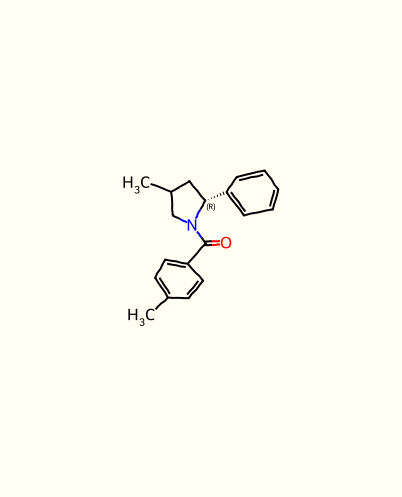 Cc1ccc(C(=O)N2CC(C)C[C@@H]2c2ccccc2)cc1